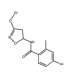 CCOC1=NOC(NC(=O)c2ccc(C(C)=O)cc2C)C1